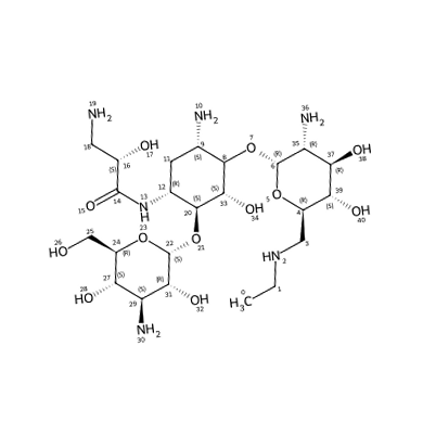 CCNC[C@H]1O[C@H](OC2[C@@H](N)C[C@@H](NC(=O)[C@@H](O)CN)[C@H](O[C@H]3O[C@H](CO)[C@@H](O)[C@H](N)[C@H]3O)[C@H]2O)[C@H](N)[C@@H](O)[C@@H]1O